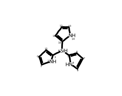 c1c[nH]c([SiH](c2ccc[nH]2)c2ccc[nH]2)c1